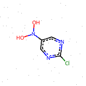 ON(O)c1cnc(Cl)nc1